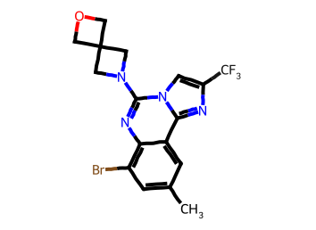 Cc1cc(Br)c2nc(N3CC4(COC4)C3)n3cc(C(F)(F)F)nc3c2c1